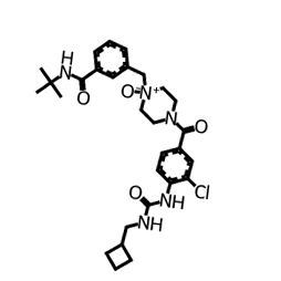 CC(C)(C)NC(=O)c1cccc(C[N+]2([O-])CCN(C(=O)c3ccc(NC(=O)NCC4CCC4)c(Cl)c3)CC2)c1